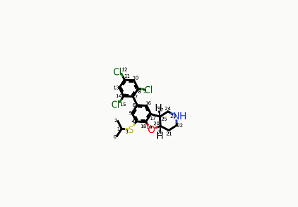 CC(C)Sc1cc(-c2c(Cl)cc(Cl)cc2Cl)cc2c1O[C@H]1CCNC[C@@H]21